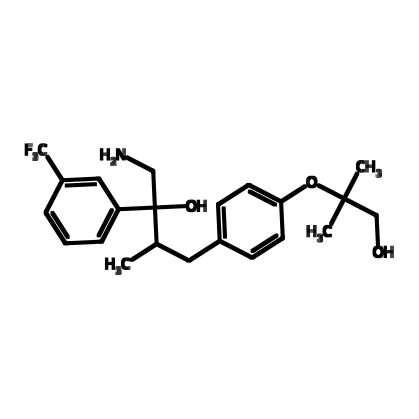 CC(Cc1ccc(OC(C)(C)CO)cc1)C(O)(CN)c1cccc(C(F)(F)F)c1